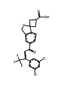 O=C(/C=C(\c1cc(Cl)cc(Cl)c1)C(F)(F)F)c1ccc2c(c1)COC21CN(C(=O)O)C1